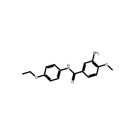 CCOc1ccc(NC(=O)c2ccc(OC)c(N)c2)cc1